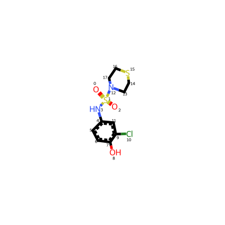 O=S(=O)(Nc1ccc(O)c(Cl)c1)N1CCSCC1